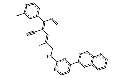 C=N/C(=C(C#N)\C=C(/C)CNc1nccc(-c2cc3cccnc3cn2)n1)c1ccnc(C)c1